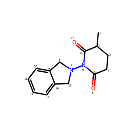 CC1CCC(=O)N(N2Cc3ccccc3C2)C1=O